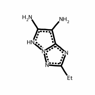 CCc1nc2c(N)c(N)[nH]n2n1